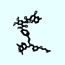 COc1cc(NC(=O)c2cc(=O)c3cc(C)ccc3o2)c(C(=O)Nc2ccc(CCN(Cc3cncc(OCCSC)c3)Cc3ccc4c(c3)c(C)nn4C)cc2)cc1OC